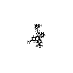 N#Cc1ccc(-c2nc(OC[C@@H]3CCNC3)c3nccn3c2-c2ccc(C(F)(F)F)cc2)cc1